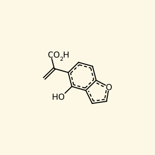 C=C(C(=O)O)c1ccc2occc2c1O